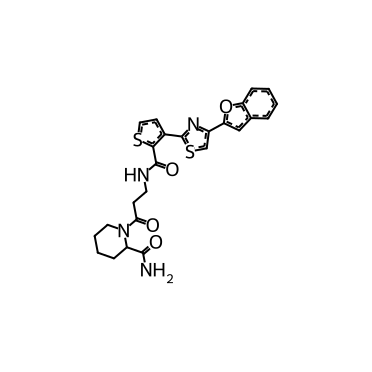 NC(=O)C1CCCCN1C(=O)CCNC(=O)c1sccc1-c1nc(-c2cc3ccccc3o2)cs1